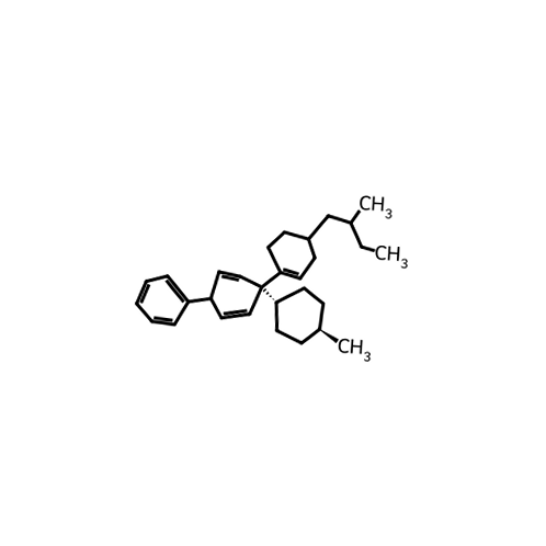 CCC(C)CC1CC=C(C2([C@H]3CC[C@H](C)CC3)C=CC(c3ccccc3)C=C2)CC1